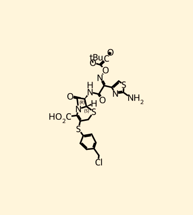 CC(C)(C)OC(=C=O)ON=C(C(=O)N[C@@H]1C(=O)N2C(C(=O)O)=C(Sc3ccc(CCl)cc3)CS[C@@H]12)c1csc(N)n1